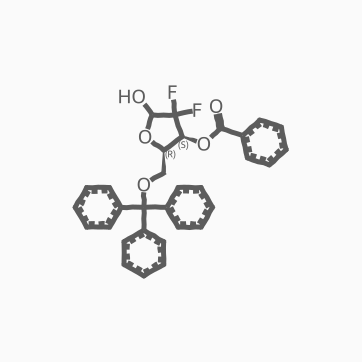 O=C(O[C@H]1[C@@H](COC(c2ccccc2)(c2ccccc2)c2ccccc2)OC(O)C1(F)F)c1ccccc1